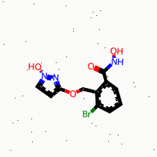 O=C(NO)c1cccc(Br)c1COc1ccn(O)n1